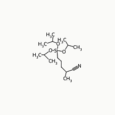 CC(C#N)CCC[Si](OC(C)C)(OC(C)C)OC(C)C